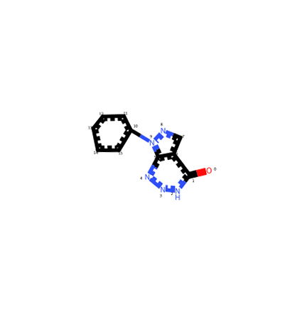 O=c1[nH]nnc2c1cnn2-c1ccccc1